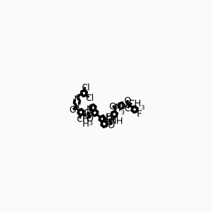 Cc1cc(C(=O)N2CCN(Cc3cc(Cl)cc(Cl)c3)CC2)ccc1NS(=O)(=O)c1cc(-c2cnc3c(S(=O)(=O)Nc4ccc(C(=O)N5CCN(C(=O)C(C)(C)c6ccc(F)cc6)CC5)cc4F)cccc3c2)cc2cccnc12